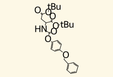 CC(C)(C)OC(=O)CC(NC(=O)Oc1ccc(OCc2ccccc2)cc1)C(=O)OC(C)(C)C